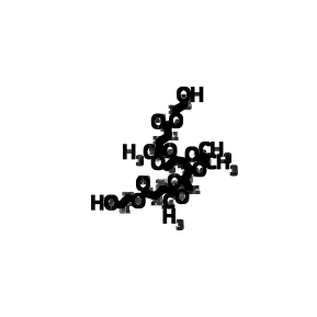 CC1(C)OC(C2COC(C)(CCC(=O)OCCO)O2)C(C2COC(C)(CCC(=O)OCCO)O2)O1